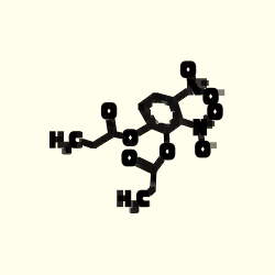 CCC(=O)Oc1ccc([N+](=O)[O-])c([N+](=O)[O-])c1OC(=O)CC